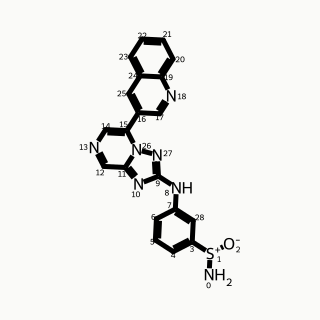 N[S+]([O-])c1cccc(Nc2nc3cncc(-c4cnc5ccccc5c4)n3n2)c1